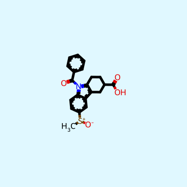 C[S+]([O-])c1ccc2c(c1)c1c(n2C(=O)c2ccccc2)CCC(C(=O)O)C1